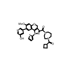 COc1cc2c(cc1-c1cncc(O)c1)-c1c(c(C(=O)N3CCCN(C(=O)C4CCC4)CC3)nn1-c1cccs1)CO2